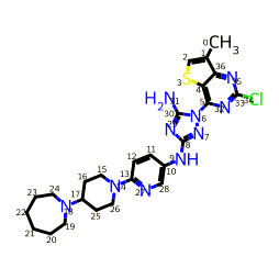 Cc1csc2c(-n3nc(Nc4ccc(N5CCC(N6CCCCCC6)CC5)nc4)nc3N)nc(Cl)nc12